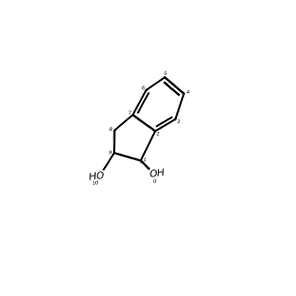 O[C]1c2ccccc2CC1O